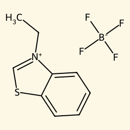 CC[n+]1csc2ccccc21.F[B-](F)(F)F